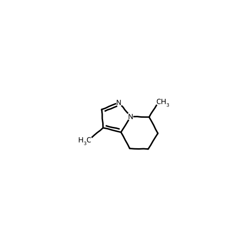 Cc1cnn2c1CCCC2C